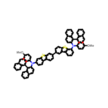 COc1ccc(N(c2ccc3c(c2)sc2cc(-c4ccc5sc6c(N(c7ccc(OC)cc7)c7ccc8ccccc8c7-c7cccc8ccccc78)cccc6c5c4)ccc23)c2ccc3ccccc3c2-c2cccc3ccccc23)cc1